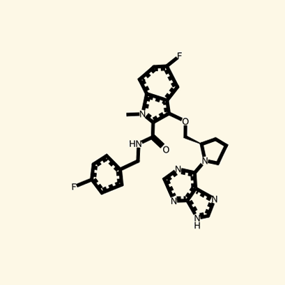 Cn1c(C(=O)NCc2ccc(F)cc2)c(OC[C@H]2CCCN2c2ncnc3[nH]cnc23)c2cc(F)ccc21